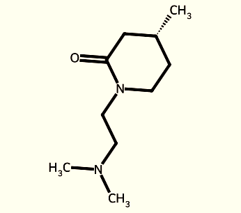 C[C@@H]1CCN(CCN(C)C)C(=O)C1